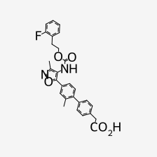 Cc1cc(-c2onc(C)c2NC(=O)OCCc2ccccc2F)ccc1-c1ccc(CC(=O)O)cc1